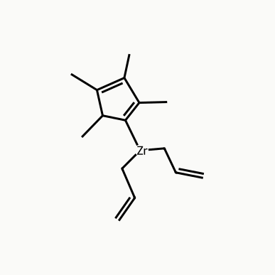 C=C[CH2][Zr]([CH2]C=C)[C]1=C(C)C(C)=C(C)C1C